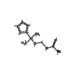 CCC(C)C(=O)OCOC(C)(C)c1ccsc1